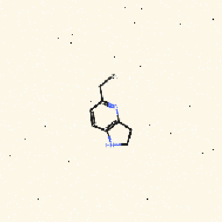 CC(C)Cc1ccc2c(n1)CCN2